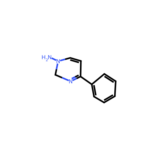 NN1C=CC(c2ccccc2)=NC1